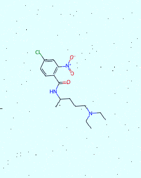 CCN(CC)CCCC(C)NC(=O)c1ccc(Cl)cc1[N+](=O)[O-]